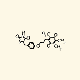 CC1=C(C)C(=O)C(CCCOc2ccc(CC3SC(=O)NC3=O)cc2)=C(C)C1=O